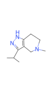 CC(C)c1n[nH]c2c1CN(C)CC2